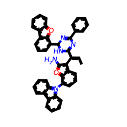 C/C=C(/C1=NC(c2ccccc2)=NC(c2cccc3c2oc2ccccc23)N1)c1c(N)oc2c(-n3c4ccccc4c4ccccc43)cccc12